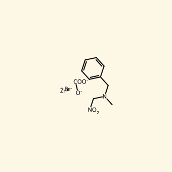 CN(Cc1ccccc1)C[N+](=O)[O-].O=C([O-])[O-].[Br-].[Zr+3]